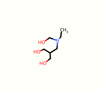 CCN(CO)CC(CO)CO